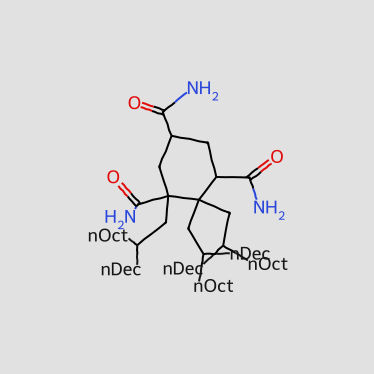 CCCCCCCCCCC(CCCCCCCC)CC1(C(N)=O)CC(C(N)=O)CC(C(N)=O)C1(CC(CCCCCCCC)CCCCCCCCCC)CC(CCCCCCCC)CCCCCCCCCC